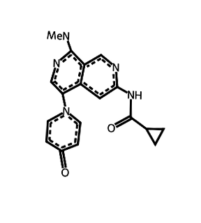 CNc1ncc(-n2ccc(=O)cc2)c2cc(NC(=O)C3CC3)ncc12